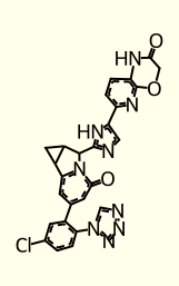 O=C1COc2nc(-c3cnc(C4C5CC5c5cc(-c6cc(Cl)ccc6-n6cnnn6)cc(=O)n54)[nH]3)ccc2N1